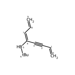 C=CC#C/C(BC(C)(C)C)=C\C=C